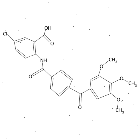 COc1cc(C(=O)c2ccc(C(=O)Nc3ccc(Cl)cc3C(=O)O)cc2)cc(OC)c1OC